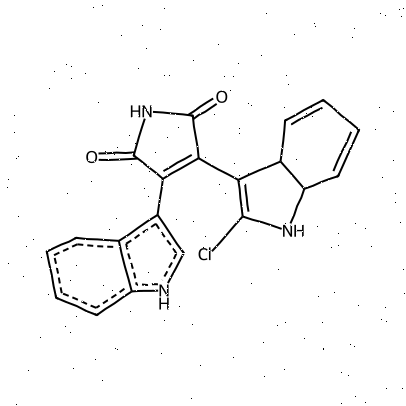 O=C1NC(=O)C(c2c[nH]c3ccccc23)=C1C1=C(Cl)NC2C=CC=CC12